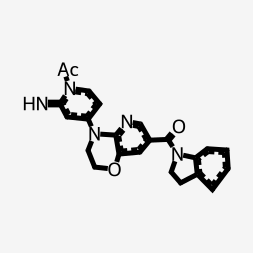 CC(=O)n1ccc(N2CCOc3cc(C(=O)N4CCc5ccccc54)cnc32)cc1=N